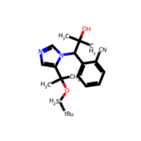 CC(C)(C)[SiH2]OC(C)(C)c1cncn1C(c1ccccc1C#N)C(C)(C)O